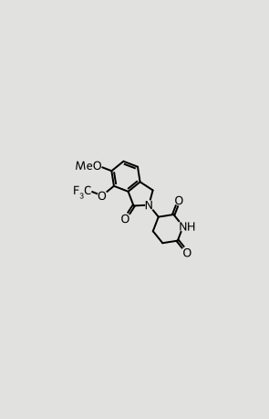 COc1ccc2c(c1OC(F)(F)F)C(=O)N(C1CCC(=O)NC1=O)C2